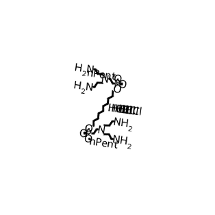 CCCCCOP(=O)(CCN(CCCN)CCCN)OCCCCCCCCCCOP(=O)(CCN(CCCN)CCCN)OCCCCC.Cl.Cl.Cl.Cl.Cl.Cl